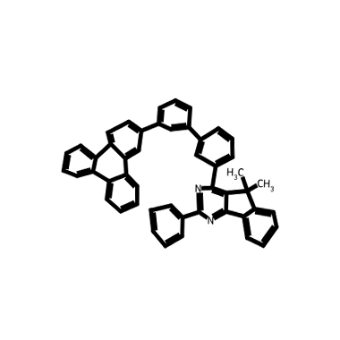 CC1(C)c2ccccc2-c2nc(-c3ccccc3)nc(-c3cccc(-c4cccc(-c5ccc6c7ccccc7c7ccccc7c6c5)c4)c3)c21